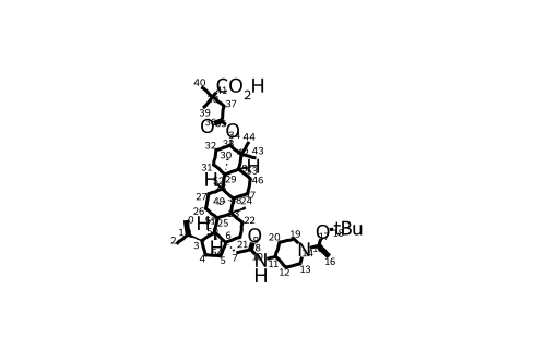 C=C(C)[C@@H]1CC[C@]2(CC(=O)NC3CCN(C(=C)OC(C)(C)C)CC3)CC[C@]3(C)[C@H](CC[C@@H]4[C@@]5(C)CC[C@H](OC(=O)CC(C)(C)C(=O)O)C(C)(C)[C@@H]5CC[C@]43C)[C@@H]12